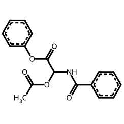 CC(=O)OC(NC(=O)c1ccccc1)C(=O)Oc1ccccc1